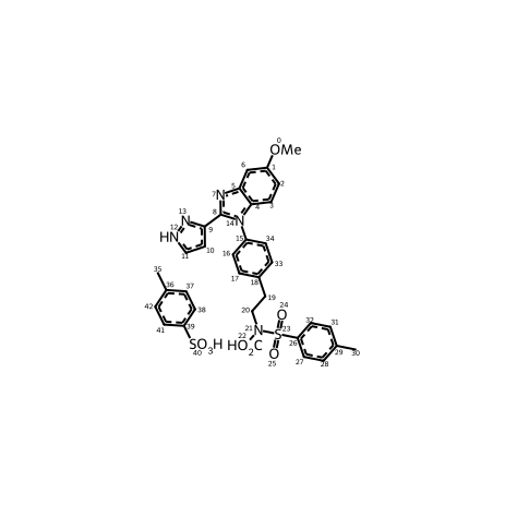 COc1ccc2c(c1)nc(-c1cc[nH]n1)n2-c1ccc(CCN(C(=O)O)S(=O)(=O)c2ccc(C)cc2)cc1.Cc1ccc(S(=O)(=O)O)cc1